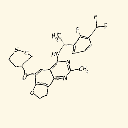 Cc1nc(N[C@H](C)c2cccc(C(F)F)c2F)c2cc(OC3CCSCC3)c3c(c2n1)CCO3